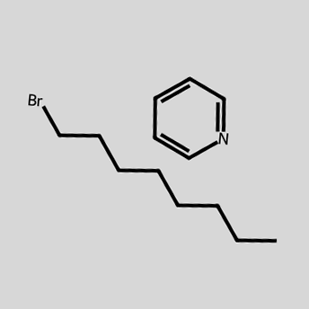 CCCCCCCCBr.c1ccncc1